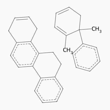 C1=CCc2c(ccc3c2CCc2ccccc2-3)C1.CC1=CC=CCC1(C)c1ccccc1